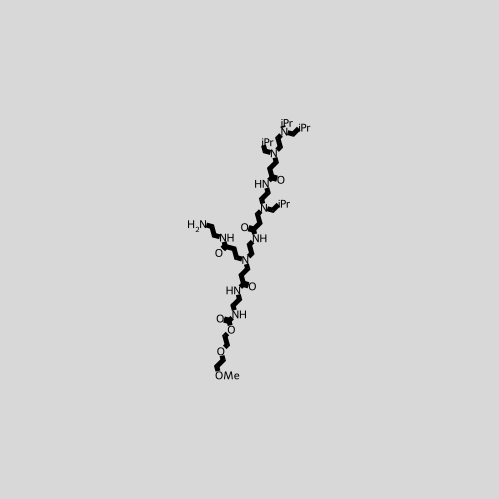 COCCOCCOC(=O)NCCNC(=O)CCN(CCNC(=O)CCN(CCNC(=O)CCN(CCN(CC(C)C)C(C)C)CC(C)C)CC(C)C)CCC(=O)NCCN